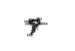 C/C=C1/[C@H](O[C@@H]2O[C@H](CO)[C@@H](O)[C@H](O)[C@H]2O)OC=C(C(=O)OCC(OC)c2ccc(O)c(O)c2)[C@H]1CC(=O)Oc1ccc(CCO)cc1